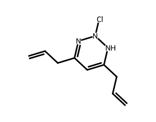 C=CCC1=CC(CC=C)=NN(Cl)N1